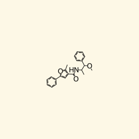 COC(c1ccccc1)C(C)NC(=O)c1cc(-c2ccccc2)oc1C